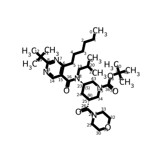 CCCCCCc1nc(C(C)(C)C)ncc1C(=O)N(CC(C)C)[C@H]1C[C@@H](C(=O)N2CCOCC2)CN(C(=O)OC(C)(C)C)C1